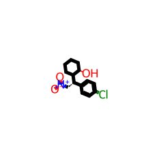 O=[N+]([O-])C[C@@H](c1ccc(Cl)cc1)C1CCCC[C@@H]1O